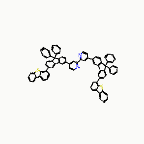 c1ccc(C2(c3ccccc3)c3ccc(-c4ccnc(-c5cc(-c6ccc7c(c6)-c6cc(-c8cccc9c8sc8ccccc89)ccc6C7(c6ccccc6)c6ccccc6)ccn5)c4)cc3-c3cc(-c4cccc5c4sc4ccccc45)ccc32)cc1